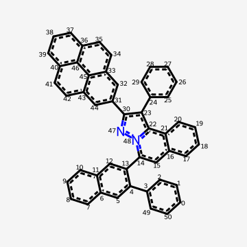 c1ccc(-c2cc3ccccc3cc2-c2cc3ccccc3c3c(-c4ccccc4)c(-c4cc5ccc6cccc7ccc(c4)c5c67)nn23)cc1